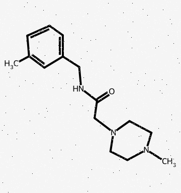 Cc1cccc(CNC(=O)CN2CCN(C)CC2)c1